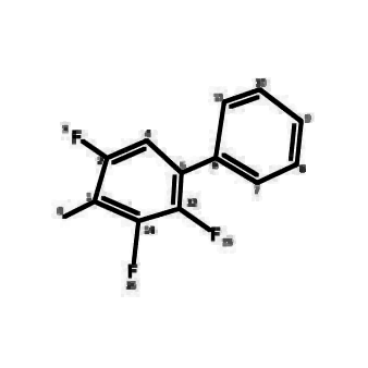 Cc1c(F)cc(-c2ccccc2)c(F)c1F